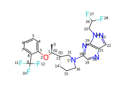 C[C@H](Oc1ccccc1C(F)(F)F)[C@H]1CCCN(c2cnc3cnn(CC(F)F)c3n2)C1